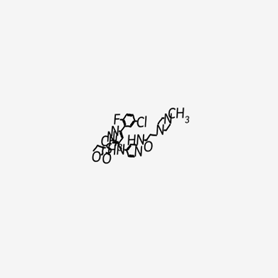 CN1CCN(CCC(=O)Nc2cc(Nc3cc(-c4cc(Cl)ccc4F)nnc3SC3(C)CCOC3=O)ccn2)CC1